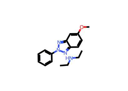 CCNCC.COc1ccc2nn(-c3ccccc3)nc2c1